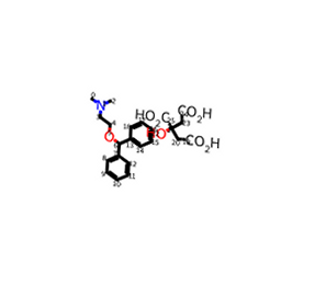 CN(C)CCOC(c1ccccc1)c1ccccc1.O=C(O)CC(O)(CC(=O)O)C(=O)O